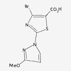 COc1ccn(-c2nc(Br)c(C(=O)O)s2)n1